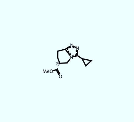 COC(=O)[C@@H]1CCc2nnc(C3CC3)n2C1